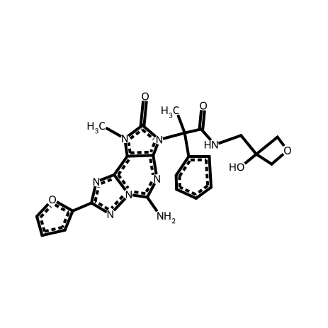 Cn1c(=O)n(C(C)(C(=O)NCC2(O)COC2)c2ccccc2)c2nc(N)n3nc(-c4ccco4)nc3c21